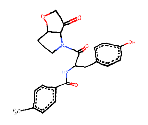 O=C(NC(Cc1ccc(O)cc1)C(=O)N1CCC2OCC(=O)C21)c1ccc(C(F)(F)F)cc1